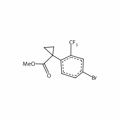 COC(=O)C1(c2ccc(Br)cc2C(F)(F)F)CC1